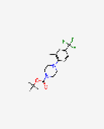 Cc1cc(C(F)(F)F)ccc1N1CCN(C(=O)OC(C)(C)C)CC1